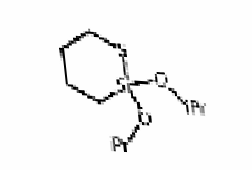 CC(C)O[Si]1(OC(C)C)CCCCS1